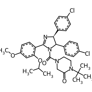 COc1ccc(C2=N[C@@H](c3ccc(Cl)cc3)C(c3ccc(Cl)cc3)N2C(=O)N2CCN(C(C)(C)C)C(=O)C2)c(OC(C)C)c1